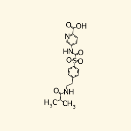 CC(C)C(=O)NCCc1ccc(S(=O)(=O)C(=O)Nc2ccc(C(=O)O)nc2)cc1